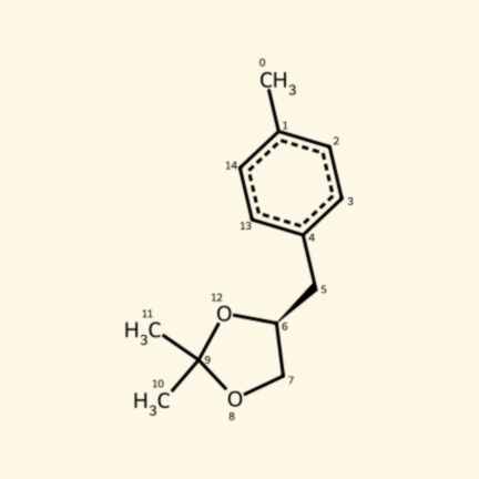 Cc1ccc(C[C@H]2COC(C)(C)O2)cc1